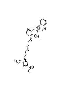 Cc1c(SCCCSCCCn2cc([N+](=O)[O-])nc2C)ccnc1CNc1cnc2ccccc2c1